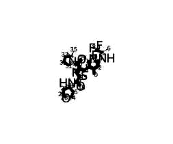 Cc1cc(N[C@@H](C)C(F)(F)F)ncc1-c1sc(C(=O)NC2CCOCC2)nc1C(=O)N1CCC[C@@H]1C